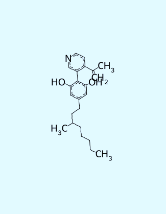 C=C(C)c1ccncc1-c1c(O)cc(CCC(C)CCCCC)cc1O